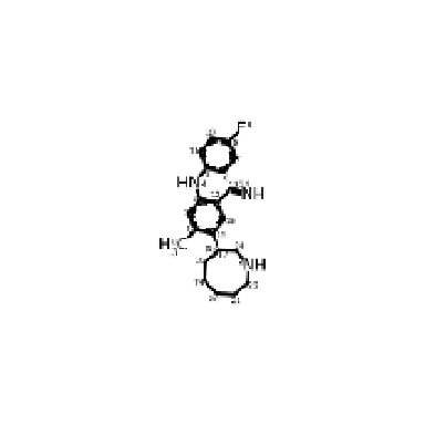 Cc1cc(Nc2ccc(F)cc2)c(C=N)cc1[C@@H]1CCCCCNC1